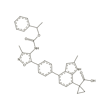 Cc1cc2c(-c3ccc(-c4onc(C)c4NC(=O)OC(C)c4ccccc4)cc3)ccc(C3(C(=O)O)CC3)c2[nH]1